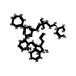 C=CCC1/C(=C/C2NC=CC=C2c2nc(/C=C/C(C)(C)CCC[C@@H](/C=C\C)CC)nc(C3=CCC=CC=C3)n2)C2=C(C=CCC2)[C@H]1C